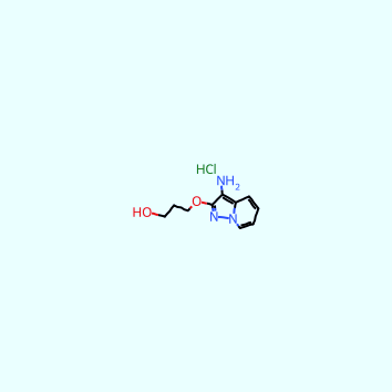 Cl.Nc1c(OCCCO)nn2ccccc12